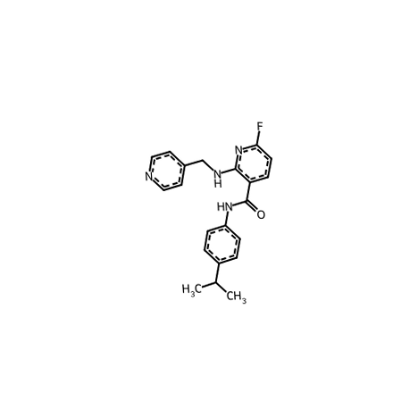 CC(C)c1ccc(NC(=O)c2ccc(F)nc2NCc2ccncc2)cc1